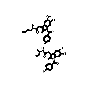 CCC(C)NC(=O)Cc1c(C)n(C(=O)c2ccc(F)cc2)c2cc(Cl)c(O)cc12.CCCCNC(=O)Cc1c(C)n(C(=O)c2ccc(F)cc2)c2cc(Cl)c(O)cc12